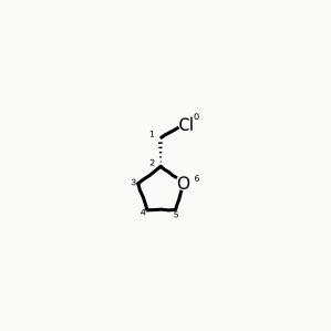 ClC[C@H]1CCCO1